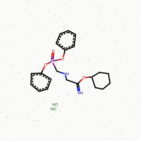 Cl.Cl.N=C(CNCP(=O)(Oc1ccccc1)Oc1ccccc1)OC1CCCCC1